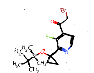 CC(C)(C)[Si](C)(C)OC1(c2nccc(C(=O)CBr)c2F)CC1